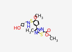 CCOC(=O)c1nn2c(-c3ccc(OC)c(SNC[C@H]4C[C@@H](O)C4)c3)c(C)nc2s1